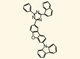 c1ccc(-c2nc(-c3ccc4oc5cc(-n6c7ccccc7c7ccccc76)ccc5c4c3)nc(-c3cccc4ccccc34)n2)cc1